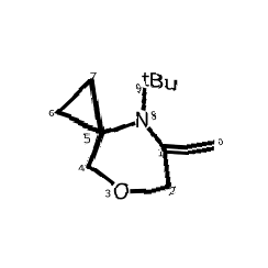 C=C1COCC2(CC2)N1C(C)(C)C